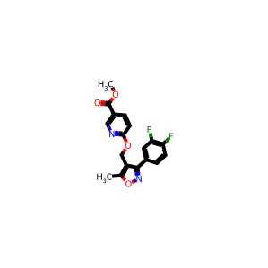 COC(=O)c1ccc(OCc2c(-c3ccc(F)c(F)c3)noc2C)nc1